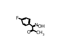 CC(=O)C(=NO)c1ccc(F)cc1